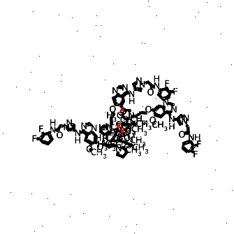 COc1cc2c(Nc3cnn(CC(=O)Nc4cccc(F)c4F)c3)ncnc2cc1OCCCN1CCC[C@H]1C(OP(=O)(OC([C@@H]1CCCN1CCCOc1cc2ncnc(Nc3cnn(CC(=O)Nc4cccc(F)c4F)c3)c2cc1OC)(C(C)(C)C)C(C)(C)C)OC([C@@H]1CCCN1CCCOc1cc2ncnc(Nc3cnn(CC(=O)Nc4cccc(F)c4F)c3)c2cc1OC)(C(C)(C)C)C(C)(C)C)(C(C)(C)C)C(C)(C)C